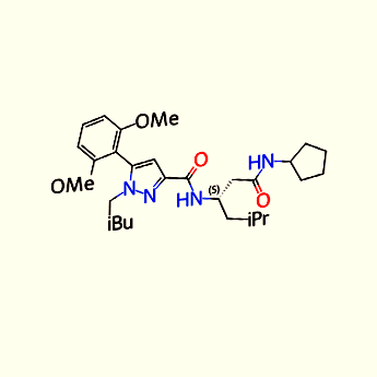 CCC(C)Cn1nc(C(=O)N[C@H](CC(=O)NC2CCCC2)CC(C)C)cc1-c1c(OC)cccc1OC